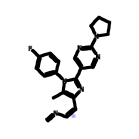 C=N/C=C\c1nc(-c2cnc(N3CCCC3)nc2)n(-c2ccc(F)cc2)c1C